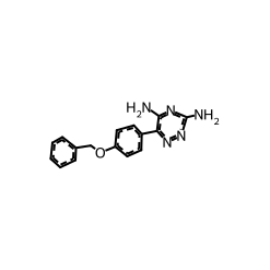 Nc1nnc(-c2ccc(OCc3ccccc3)cc2)c(N)n1